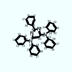 c1ccc(-c2nc(N(c3ccccc3)c3ccccc3)cc(N(c3ccccc3)c3ccccc3)n2)cc1